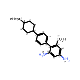 CCCCCCCC1CCC(c2ccc(-c3c(N)cc(N)cc3C(=O)O)cc2)CC1